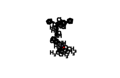 CC(C)(C)OC(=O)/N=C(\NC(=O)OC(C)(C)C)Nc1ccc2c(c1)[C@H](NCC(=O)NCC(O)(NC(=O)c1c(Cl)cc(-c3ccccc3)cc1Cl)C(=O)OCc1ccccc1)CCO2